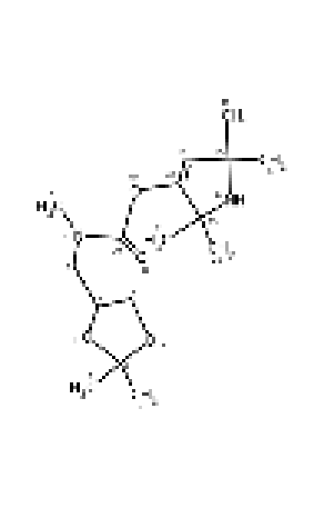 CN(CC1COC(C)(C)O1)C(=O)OC1=CC(C)(C)NC1(C)C